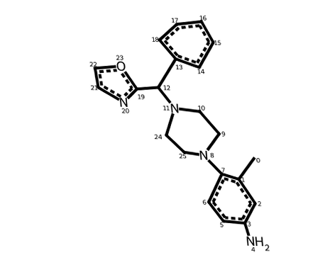 Cc1cc(N)ccc1N1CCN(C(c2ccccc2)c2ncco2)CC1